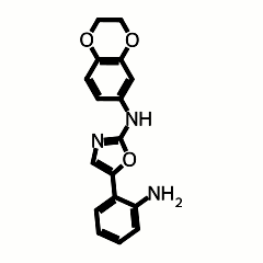 Nc1ccccc1-c1cnc(Nc2ccc3c(c2)OCCO3)o1